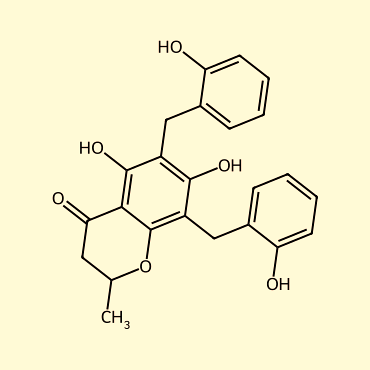 CC1CC(=O)c2c(O)c(Cc3ccccc3O)c(O)c(Cc3ccccc3O)c2O1